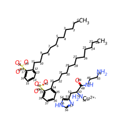 CCCCCCCCCCCCc1ccccc1S(=O)(=O)[O-].CCCCCCCCCCCCc1ccccc1S(=O)(=O)[O-].NCCNC(=O)[C@@H](N)Cc1c[nH]cn1.[Cu+2]